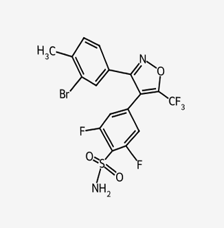 Cc1ccc(-c2noc(C(F)(F)F)c2-c2cc(F)c(S(N)(=O)=O)c(F)c2)cc1Br